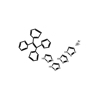 [Br-].[Br-].[Zn+2].c1c[nH]nn1.c1c[nH]nn1.c1c[nH]nn1.c1c[nH]nn1.c1ccc(C(=C(c2ccccc2)c2ccccc2)c2ccccc2)cc1